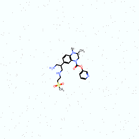 CC(=O)N1c2ccc(C(CN)CNCCS(C)(=O)=O)cc2N(C(=O)Oc2cccnc2)C[C@@H]1C